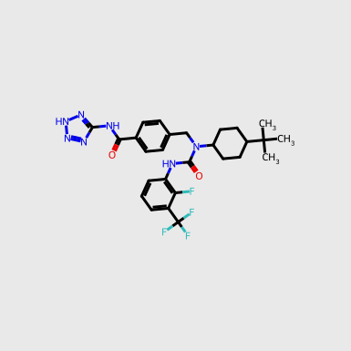 CC(C)(C)C1CCC(N(Cc2ccc(C(=O)Nc3nn[nH]n3)cc2)C(=O)Nc2cccc(C(F)(F)F)c2F)CC1